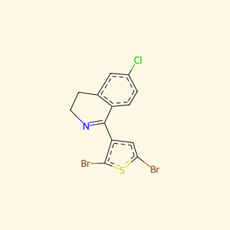 Clc1ccc2c(c1)CCN=C2c1cc(Br)sc1Br